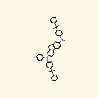 Cc1ccc(N(c2ccc(C(C)(C)c3ccccc3)cc2)c2ccc3c(ccc4cc(N(C)c5ccc(C(C)(C)c6ccccc6)cc5)ccc43)c2)cc1